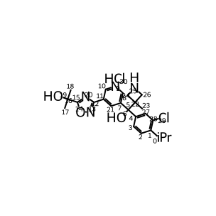 CC(C)c1ccc([C@](O)(c2cncc(-c3noc(C(C)(C)O)n3)c2)C2(C)CNC2)cc1Cl.Cl